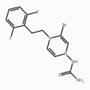 NC(=S)NN1C=CN(CCc2c(F)cccc2F)C(Br)=C1